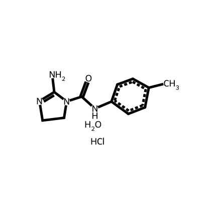 Cc1ccc(NC(=O)N2CCN=C2N)cc1.Cl.O